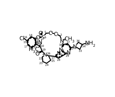 CN1CCCCS(=O)(=O)NC(C)(c2ccc(Cl)cc2)C(=O)N2CCCCC2c2cc3nc(N4CC(N)C4)cc1n3n2